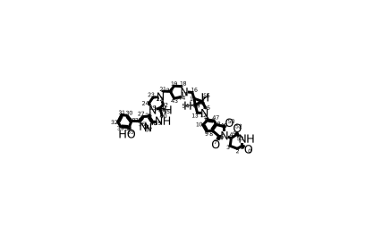 O=C1CCC(N2C(=O)c3ccc(N4C[C@@H]5C(CN6CCC(CN7CCN8c9cc(-c%10ccccc%10O)nnc9NC[C@H]8C7)CC6)[C@@H]5C4)cc3C2=O)C(=O)N1